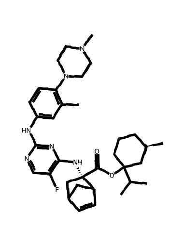 Cc1cc(Nc2ncc(F)c(N[C@@]3(C(=O)OC4(C(C)C)CCC[C@@H](C)C4)CC4C=CC3C4)n2)ccc1N1CCN(C)CC1